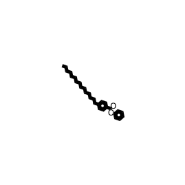 CCCCCCCCCCCCCCCc1ccc(C(=O)Oc2ccccc2)cc1